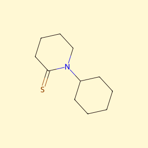 S=C1CCCCN1C1CCCCC1